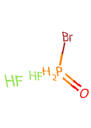 F.F.O=[PH2]Br